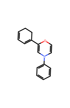 C1=CCCC(C2=CN(c3ccccc3)C=CO2)=C1